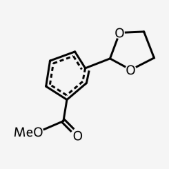 COC(=O)c1cccc(C2OCCO2)c1